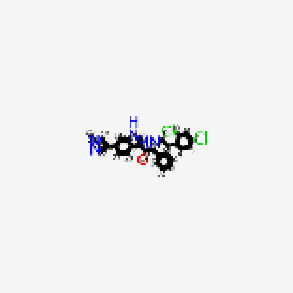 C[C@@H](Cc1ccc(Cl)cc1Cl)NC(C(=O)c1c[nH]c2cc(-c3cnn(C)c3)ccc12)c1ccccc1